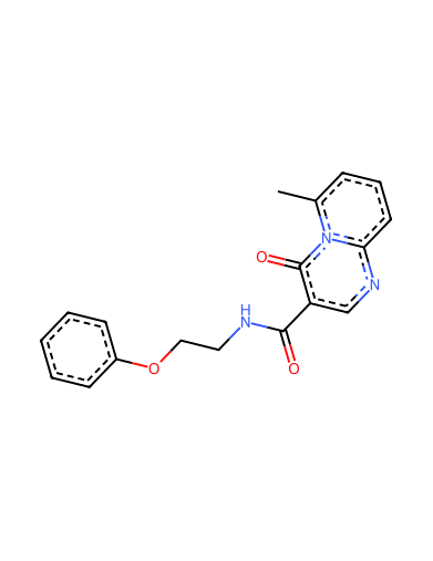 Cc1cccc2ncc(C(=O)NCCOc3ccccc3)c(=O)n12